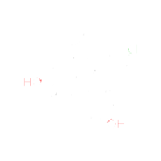 Oc1ccc(C(=C(CCCCl)C2=CC=CC2)c2ccc(O)cc2)cc1